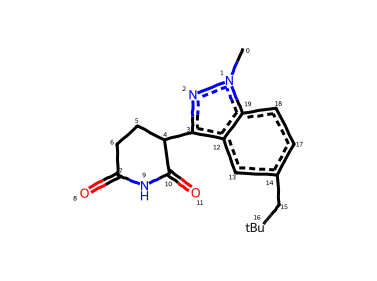 Cn1nc(C2CCC(=O)NC2=O)c2cc(CC(C)(C)C)ccc21